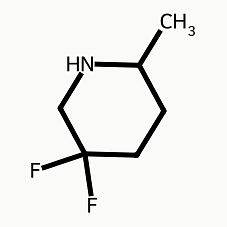 CC1CCC(F)(F)CN1